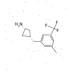 Cc1cc(C[C@H]2C[C@@H](N)C2)cc(C(F)(F)F)c1